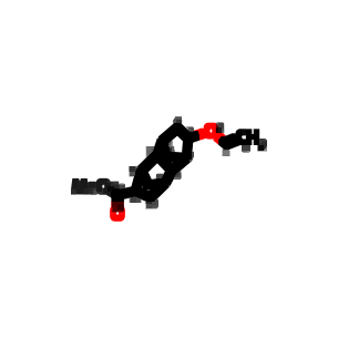 C=COC1CC2CC1C1C3CC(C(=O)OC)C(C3)C21